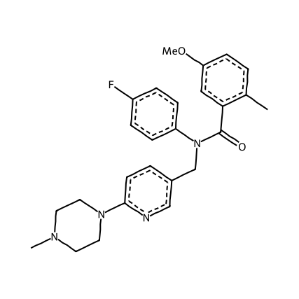 COc1ccc(C)c(C(=O)N(Cc2ccc(N3CCN(C)CC3)nc2)c2ccc(F)cc2)c1